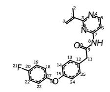 C=C(C)c1nccc(NC(=O)Cc2ccc(Oc3ccc(F)cc3)cc2)n1